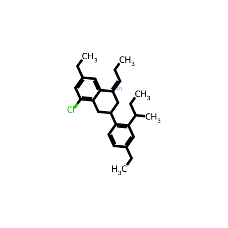 CC/C=C1/CC(c2ccc(CC)cc2C(C)CC)Cc2c(Cl)cc(CC)cc21